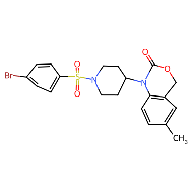 Cc1ccc2c(c1)COC(=O)N2C1CCN(S(=O)(=O)c2ccc(Br)cc2)CC1